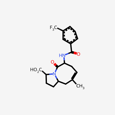 CC1=CCC(NC(=O)c2cccc(C(F)(F)F)c2)C(=O)N2C(CCC2C(=O)O)C1